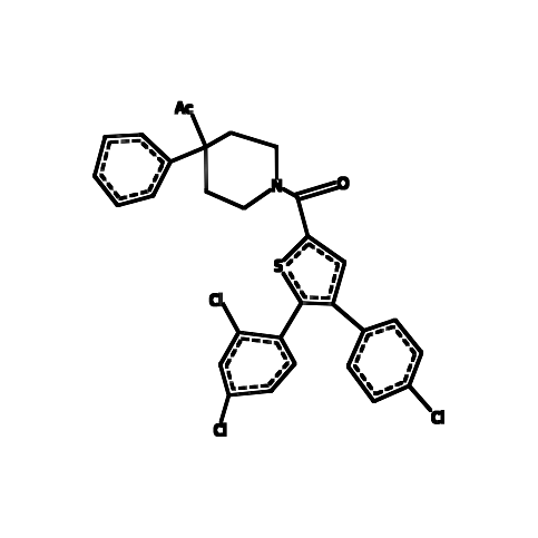 CC(=O)C1(c2ccccc2)CCN(C(=O)c2cc(-c3ccc(Cl)cc3)c(-c3ccc(Cl)cc3Cl)s2)CC1